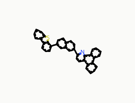 c1ccc2c(c1)sc1c(-c3ccc4ccc(-c5ccc6c7ccccc7c7ccccc7c6n5)cc4c3)cccc12